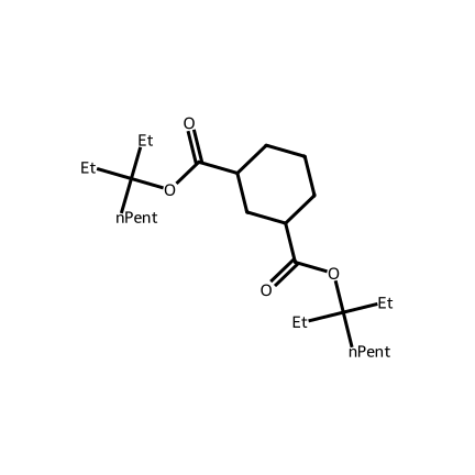 CCCCCC(CC)(CC)OC(=O)C1CCCC(C(=O)OC(CC)(CC)CCCCC)C1